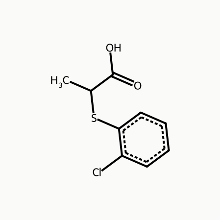 CC(Sc1ccccc1Cl)C(=O)O